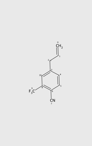 C=C[CH]c1ccc(C#N)c(C(F)(F)F)c1